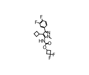 Cn1nc(-c2ccc(F)c(F)c2)c(C2CCC2)c1NC(=O)OC1CC(F)(F)C1